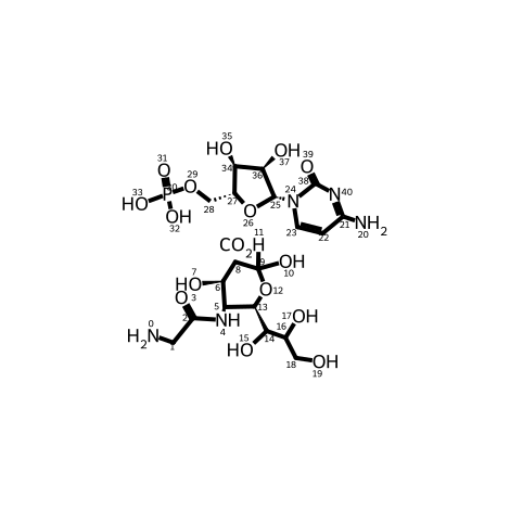 NCC(=O)N[C@@H]1[C@@H](O)CC(O)(C(=O)O)O[C@H]1C(O)C(O)CO.Nc1ccn([C@@H]2O[C@H](COP(=O)(O)O)[C@@H](O)[C@H]2O)c(=O)n1